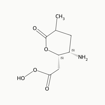 CC1C[C@H](N)[C@H](CC(=O)OO)OC1=O